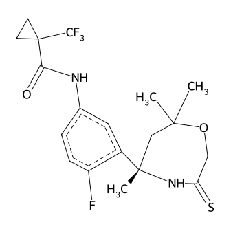 CC1(C)C[C@@](C)(c2cc(NC(=O)C3(C(F)(F)F)CC3)ccc2F)NC(=S)CO1